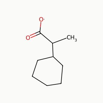 CC(C([O])=O)C1CCCCC1